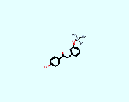 CC(C)[Si](Oc1cccc(CC(=O)c2ccc(O)cc2)c1)(C(C)C)C(C)C